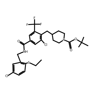 CCSc1ccc(Cl)cc1CNC(=O)c1cc(Cl)c(CC2CCN(C(=O)OC(C)(C)C)CC2)c(C(F)(F)F)c1